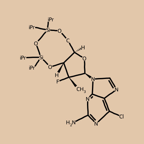 CC(C)[Si]1(C(C)C)OC[C@H]2O[C@@H](n3cnc4c(Cl)nc(N)nc43)[C@](C)(F)[C@@H]2O[Si](C(C)C)(C(C)C)O1